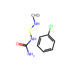 Clc1ccccc1.NC(=O)NSNC=O